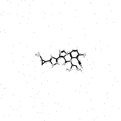 CCC(C)n1c(=O)c2c(-c3noc(C4CC4C)n3)ncn2c2ccc(Cl)c(C#N)c21